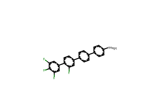 CCCCCCCc1ccc(-c2ccc(-c3ccc(-c4cc(F)c(F)c(F)c4)c(F)c3)cc2)cc1